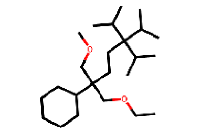 CCOCC(CCC(C(C)C)(C(C)C)C(C)C)(COC)C1CCCCC1